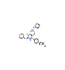 Cc1ccc(-c2nc(Cc3ccccc3)nc3c2CCN(Cc2ccccc2)C3)cc1